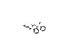 CCC(=O)N(c1ccccc1)C1CC(C)N(C(=O)c2cc(C)no2)c2ccccc21